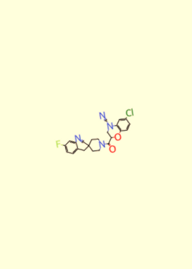 N#CN1CC(C(=O)N2CCC(C#N)(Cc3ccc(F)cc3)CC2)Oc2ccc(Cl)cc21